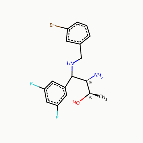 C[C@@H](O)[C@@H](N)C(NCc1cccc(Br)c1)c1cc(F)cc(F)c1